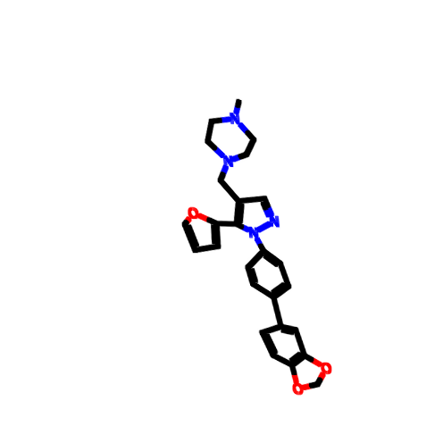 CN1CCN(Cc2cnn(-c3ccc(-c4ccc5c(c4)OCO5)cc3)c2-c2ccco2)CC1